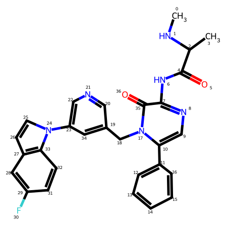 CNC(C)C(=O)Nc1ncc(-c2ccccc2)n(Cc2cncc(-n3ccc4cc(F)ccc43)c2)c1=O